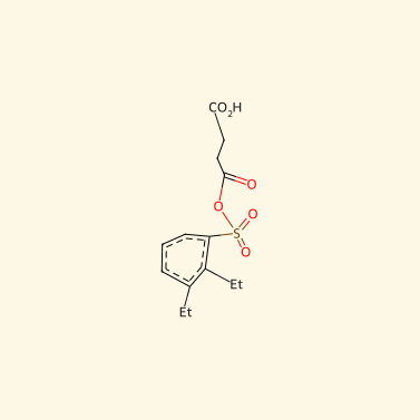 CCc1cccc(S(=O)(=O)OC(=O)CCC(=O)O)c1CC